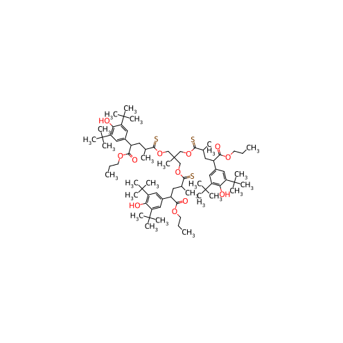 CCCOC(=O)C(CC(C)C(=S)OCC(C)(COC(=S)C(C)CC(C(=O)OCCC)c1cc(C(C)(C)C)c(O)c(C(C)(C)C)c1)COC(=S)C(C)CC(C(=O)OCCC)c1cc(C(C)(C)C)c(O)c(C(C)(C)C)c1)c1cc(C(C)(C)C)c(O)c(C(C)(C)C)c1